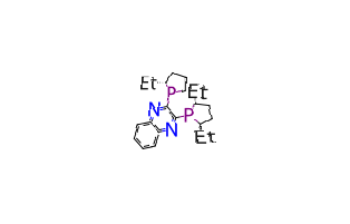 CC[C@@H]1CCCP1c1nc2ccccc2nc1P1[C@H](CC)CC[C@H]1CC